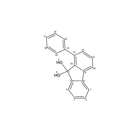 OC1(O)c2ccccc2-c2cccc(-c3ccccc3)c21